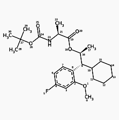 COc1cc(F)ccc1[C@@H](C1CCCCC1)[C@H](C)OC(=O)[C@H](C)NC(=O)OC(C)(C)C